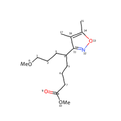 COCCCC(CCCC(=O)OC)c1noc(C)c1C